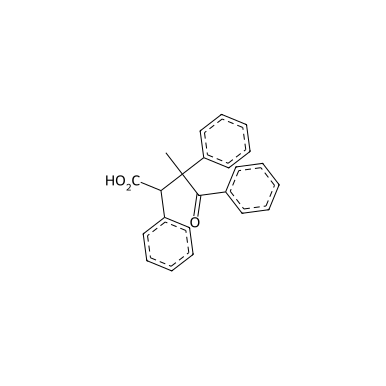 CC(C(=O)c1ccccc1)(c1ccccc1)C(C(=O)O)c1ccccc1